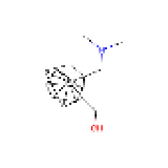 CN(C)C[C]12[CH]3[CH]4[CH]5[C]1(CO)[Fe]45321678[CH]2[CH]1[CH]6[CH]7[CH]28